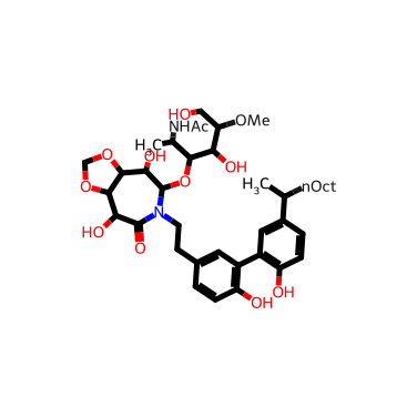 CCCCCCCCC(C)c1ccc(O)c(-c2cc(CCN3C(=O)C(O)C4OCOC4C(O)C3OC(C(C)NC(C)=O)C(O)C(CO)OC)ccc2O)c1